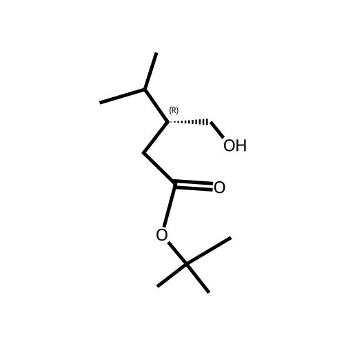 CC(C)[C@H](CO)CC(=O)OC(C)(C)C